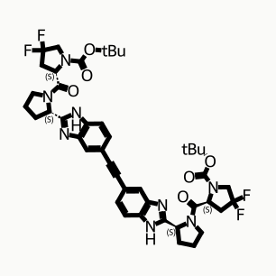 CC(C)(C)OC(=O)N1CC(F)(F)C[C@H]1C(=O)N1CCC[C@H]1c1nc2cc(C#Cc3ccc4[nH]c([C@@H]5CCCN5C(=O)[C@@H]5CC(F)(F)CN5C(=O)OC(C)(C)C)nc4c3)ccc2[nH]1